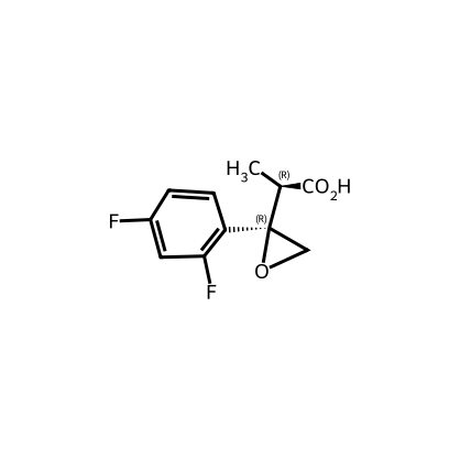 C[C@@H](C(=O)O)[C@@]1(c2ccc(F)cc2F)CO1